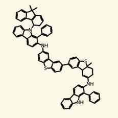 CC1(C)C2=C(c3ccccc31)C(n1c3ccccc3c3ccc(Nc4ccc5sc6ccc(-c7ccc8c(c7)C7C=C(Nc9ccc%10c([nH]c%11ccccc%11%10)c9-c9ccccc9)CCC7(C)S8)cc6c5c4)c(-c4ccccc4)c31)CC=C2